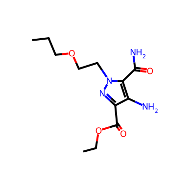 CCCOCCn1nc(C(=O)OCC)c(N)c1C(N)=O